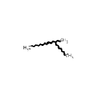 CCCCCCCCC=CCCC(CCC)CCCCCCCC